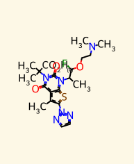 Cc1c(-n2nccn2)sc2c1c(=O)n(C(C)(C)C(=O)O)c(=O)n2C(C)[C@@H](F)OCCN(C)C